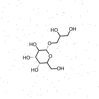 OCC(O)CO[C@@H]1OC(CO)[C@H](O)[C@H](O)C1O